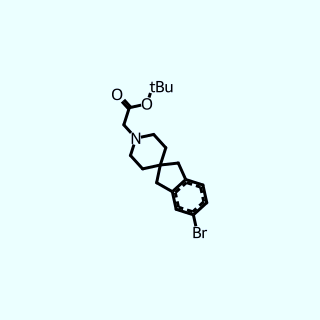 CC(C)(C)OC(=O)CN1CCC2(CC1)Cc1ccc(Br)cc1C2